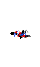 CC(C)(C)NC(=O)N[C@H](C(=O)N1C[C@H]2[C@@H]([C@H]1C(=O)NC(CC1CC1)C(=O)C(=O)NCC(=O)NCc1ccccc1)C2(C)C)C(C)(C)C